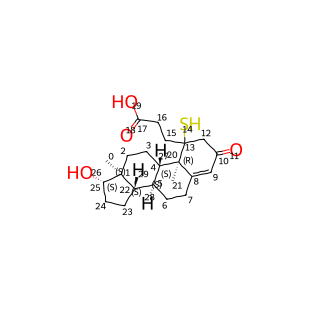 C[C@]12CC[C@H]3[C@@H](CCC4=CC(=O)CC(S)(CCC(=O)O)[C@@]43C)[C@@H]1CC[C@@H]2O